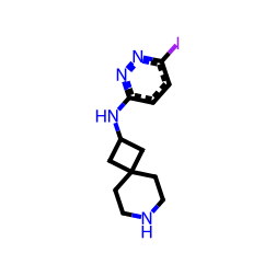 Ic1ccc(NC2CC3(CCNCC3)C2)nn1